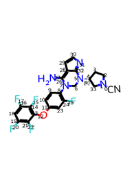 N#CN1CC[C@@H](N2CN(c3ccc(Oc4c(F)c(F)cc(F)c4F)cc3F)C(N)=C3C=CN=C32)C1